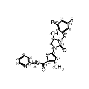 Cc1nc(N2C[C@@H](C)N(Cc3cc(F)cc(F)c3)C2=O)sc1C(=O)NCc1ccccn1